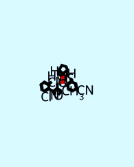 Cc1onc(-c2c(Cl)cccc2Cl)c1COC1C[C@H]2CC[C@@H](C1)C2(O)c1nc2ccc(C#N)cc2s1